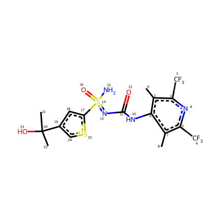 Cc1c(C(F)(F)F)nc(C(F)(F)F)c(C)c1NC(=O)N=S(N)(=O)c1cc(C(C)(C)O)cs1